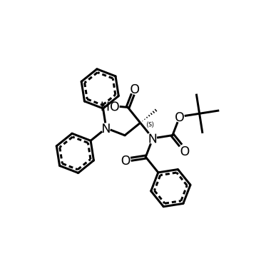 CC(C)(C)OC(=O)N(C(=O)c1ccccc1)[C@@](C)(CN(c1ccccc1)c1ccccc1)C(=O)O